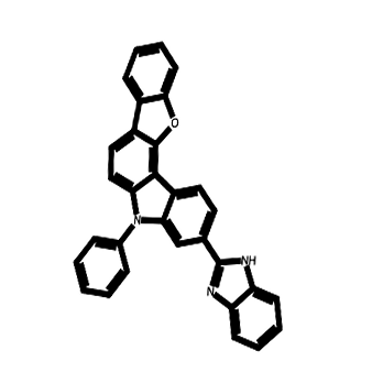 c1ccc(-n2c3cc(-c4nc5ccccc5[nH]4)ccc3c3c4oc5ccccc5c4ccc32)cc1